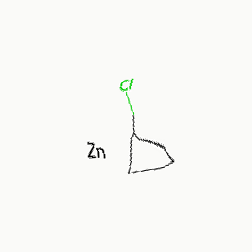 ClC1CC1.[Zn]